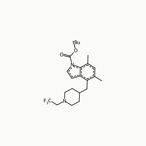 Cc1cc(C)c2c(ccn2C(=O)OC(C)(C)C)c1CC1CCN(CC(F)(F)F)CC1